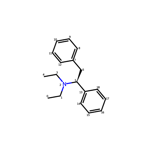 CCN(CC)[C@@H](Cc1ccccc1)c1ccccc1